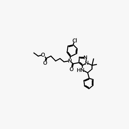 CCOC(=O)CCCCN(C(=O)c1cnn2c1NC(c1ccccc1)CC2(C)C)c1ccc(Cl)cc1